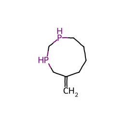 C=C1CCCCPCPC1